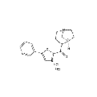 Cl.Cl.O=C(c1ncc(-c2cccnc2)o1)N1CCN2CC[C@@H]1C2